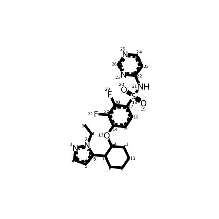 CCn1nccc1C1CCCCC1Oc1ccc(S(=O)(=O)Nc2ccncn2)c(F)c1F